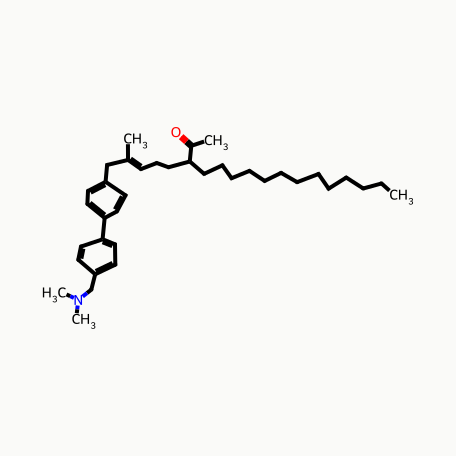 CCCCCCCCCCCCCC(CCC=C(C)Cc1ccc(-c2ccc(CN(C)C)cc2)cc1)C(C)=O